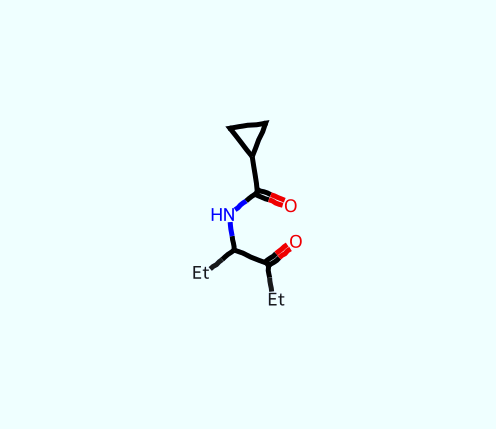 CCC(=O)C(CC)NC(=O)C1CC1